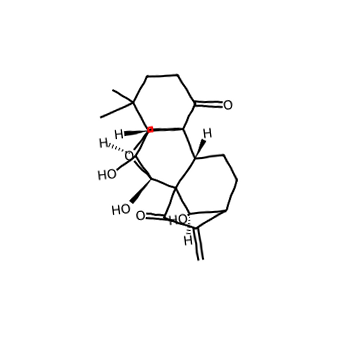 C=C1C(=O)C23[C@H](O)C1CC[C@H]2C12CO[C@]3(O)[C@@H](O)[C@@H]1C(C)(C)CCC2=O